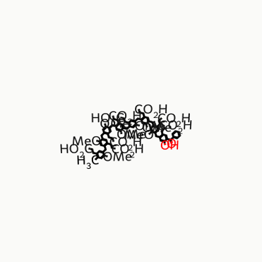 COc1cc(C)c(CCC(=O)O)cc1Cc1cc(OC)c(Cc2cc(OC)c(Cc3cc(OC)c(Cc4cc(OC)c(Cc5cc(OC)c(Cc6cc(OC)c(Cc7cc(O)c(C(=O)c8ccccc8)cc7CCC(=O)O)cc6CCC(=O)O)cc5CCC(=O)O)cc4CCC(=O)O)cc3CCC(=O)O)cc2CCC(=O)O)cc1CCC(=O)O